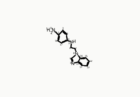 Nc1ccc(NCCn2cnc3ccccc32)cc1